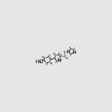 CC(Cn1ccnc1)c1ccc(-c2ccc(O)cc2)cn1